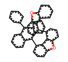 c1ccc(-c2c3ccccc3c(-c3cccc4oc5cccc(-c6cccc7oc8ccccc8c67)c5c34)c3ccccc23)cc1